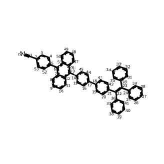 N#Cc1ccc(-c2c3ccccc3c(-c3ccc(-c4ccc(C(=C(c5ccccc5)c5ccccc5)c5ccccc5)cc4)cc3)c3ccccc23)cc1